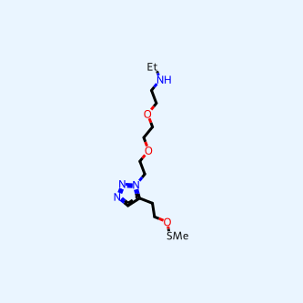 CCNCCOCCOCCn1nncc1CCOSC